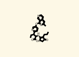 CCCC1=C(NC(C(=O)O)C(CC)c2ccc(Oc3nc(C)cc4ccncc34)cn2)CCC1=O